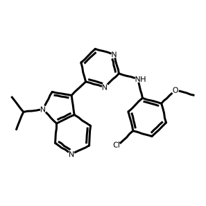 COc1ccc(Cl)cc1Nc1nccc(-c2cn(C(C)C)c3cnccc23)n1